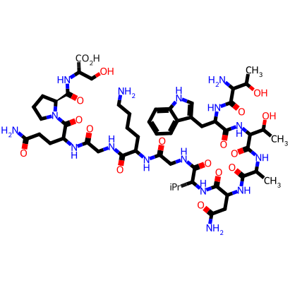 CC(NC(=O)C(NC(=O)C(Cc1c[nH]c2ccccc12)NC(=O)C(N)C(C)O)C(C)O)C(=O)NC(CC(N)=O)C(=O)NC(C(=O)NCC(=O)NC(CCCCN)C(=O)NCC(=O)NC(CCC(N)=O)C(=O)N1CCC[C@H]1C(=O)NC(CO)C(=O)O)C(C)C